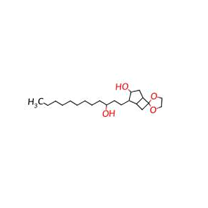 CCCCCCCCCC(O)CCC1C(O)CC2C1CC21OCCO1